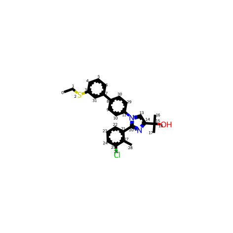 CCSc1cccc(-c2ccc(-n3cc(C(C)(C)O)nc3-c3cccc(Cl)c3C)cc2)c1